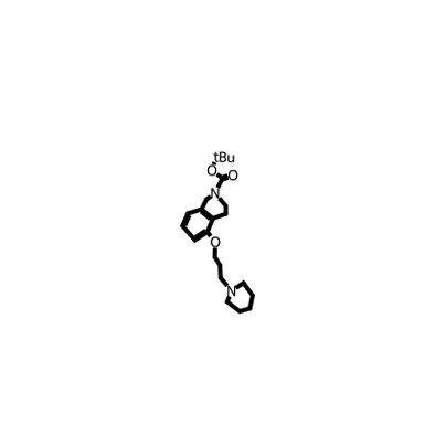 CC(C)(C)OC(=O)N1CCc2c(cccc2OCCCN2CCCCC2)C1